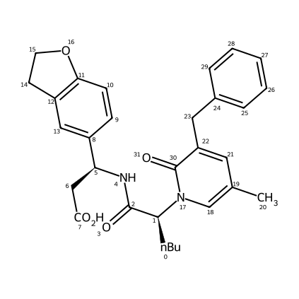 CCCC[C@@H](C(=O)N[C@@H](CC(=O)O)c1ccc2c(c1)CCO2)n1cc(C)cc(Cc2ccccc2)c1=O